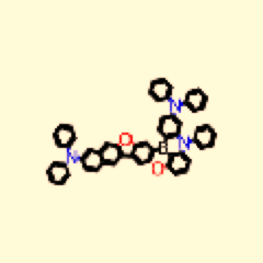 c1ccc(N(c2ccccc2)c2ccc3c(c2)N(c2ccccc2)c2cccc4c2B3c2cc3oc5cc6cc(N(c7ccccc7)c7ccccc7)ccc6cc5c3cc2O4)cc1